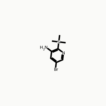 C[Si](C)(C)c1ncc(Br)cc1N